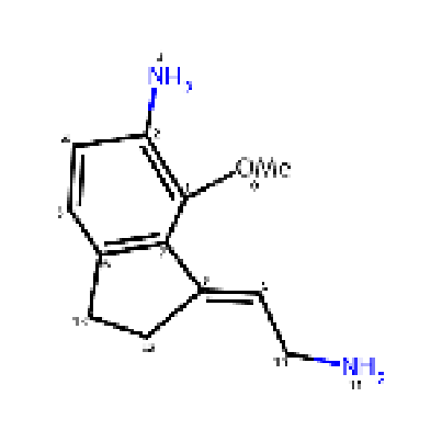 COc1c(N)ccc2c1C(=CCN)CC2